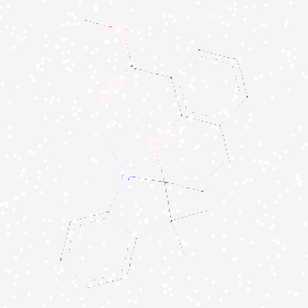 COC(=O)c1cccc2c1OC1(C=C2)N(C)c2ccccc2C1(C)C